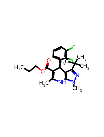 CCCOC(=O)C1=C(C)Nc2c(c(C(C)(C)C)nn2C)C1c1cccc(Cl)c1Cl